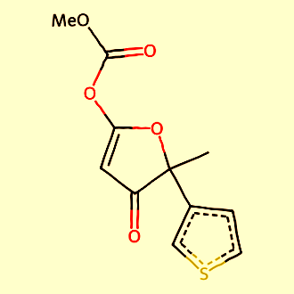 COC(=O)OC1=CC(=O)C(C)(c2ccsc2)O1